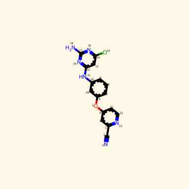 N#Cc1cc(Oc2cccc(Nc3cc(Cl)nc(N)n3)c2)ccn1